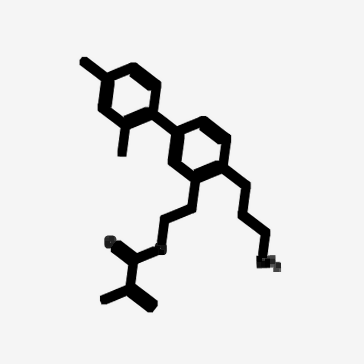 C=C(C)C(=O)OCCc1cc(-c2ccc(C)cc2C)ccc1CCCN